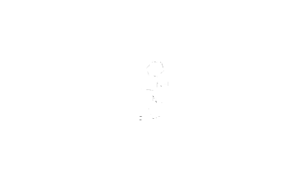 Cc1ccc(NC(=O)N2CC[C@@H](CC(F)(F)F)C2)c(F)c1